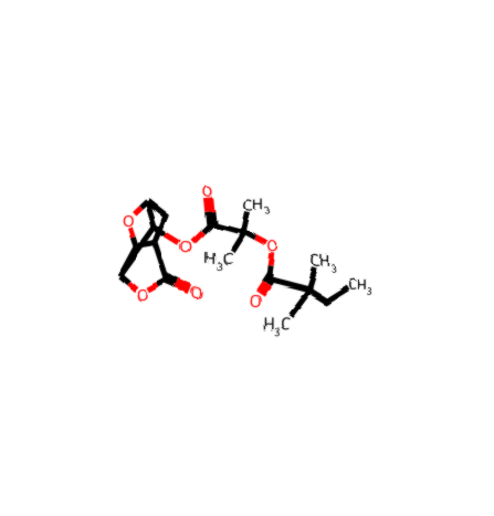 CCC(C)(C)C(=O)OC(C)(C)C(=O)OC1C2CC3C(=O)OC1C3O2